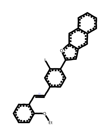 CCOc1ccccc1/C=C/c1ccc(-c2cc3cc4ccccc4cc3o2)c(I)c1